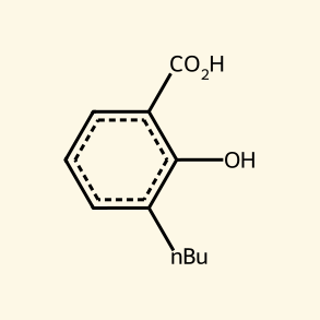 CCCCc1cccc(C(=O)O)c1O